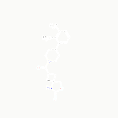 Cc1cccc(C2CCN(C(=O)[C@H]3C[C@]4(COC(=O)N4)C3)CC2)c1C